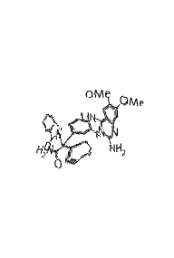 COc1cc2nc(N)nc(Nc3ccc(C(C(N)=O)(c4ccccc4)N4Cc5ccccc5C4=O)cc3F)c2cc1OC